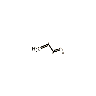 C=C[CH]=[Cr]